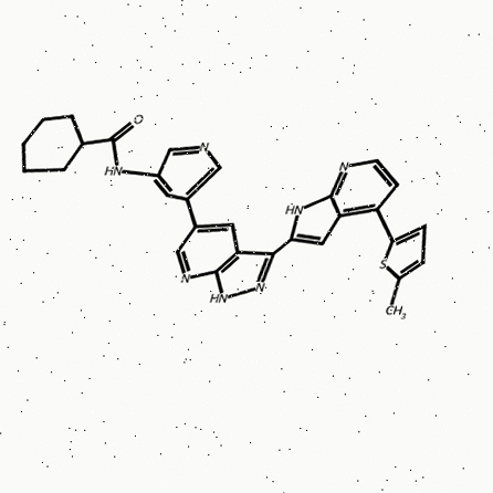 Cc1ccc(-c2ccnc3[nH]c(-c4n[nH]c5ncc(-c6cncc(NC(=O)C7CCCCC7)c6)cc45)cc23)s1